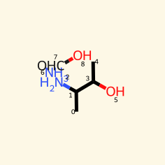 CC(N)C(C)O.N.O=CO